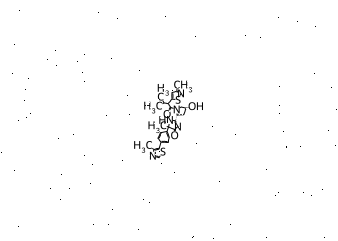 Cc1cc(C(C(=O)N2C[C@H](O)C[C@@H]2C2=NC(=O)C(C)(c3ccc(-c4scnc4C)cc3)N2)C(C)C)sn1